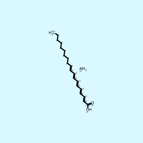 CCCCCCCCCC=CC=CC=CC=CC=CC(=O)O.[AlH3]